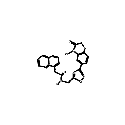 CCN(Cc1nc(-c2ccc3c(c2)N(CC)C(=O)CO3)no1)C(=O)Cc1cccc2ccccc12